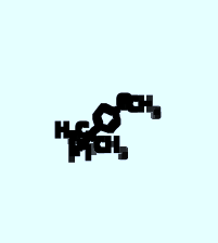 COc1ccc(C(C)(C)C(F)(F)F)cc1